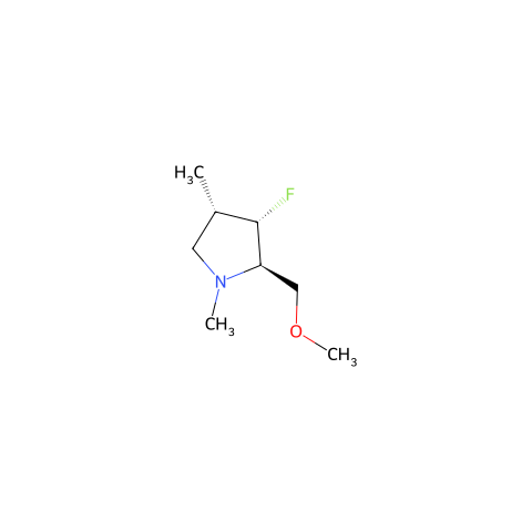 COC[C@@H]1[C@@H](F)[C@@H](C)CN1C